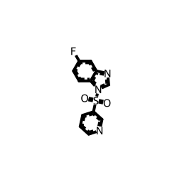 O=S(=O)(c1cccnc1)n1cnc2cc(F)ccc21